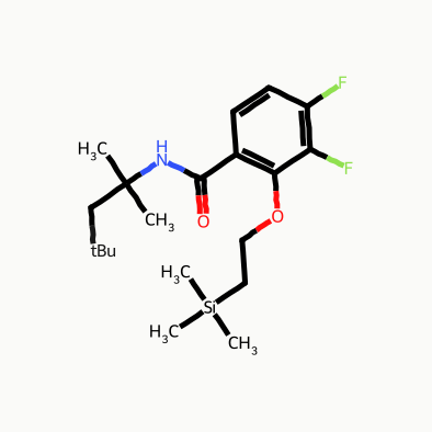 CC(C)(C)CC(C)(C)NC(=O)c1ccc(F)c(F)c1OCC[Si](C)(C)C